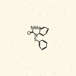 CNC(=O)N(Sc1ccccc1)c1ccccc1